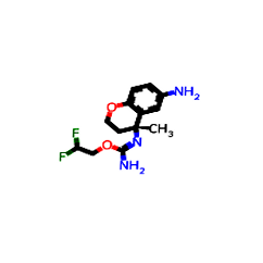 C[C@@]1(/N=C(/N)OCC(F)F)CCOc2ccc(N)cc21